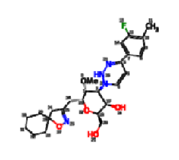 CO[C@@H]1[C@@H](N2C=CC(c3ccc(C)c(F)c3)=NN2)[C@@H](O)[C@@H](CO)O[C@@H]1CC1=NOC2(CCCCC2)C1